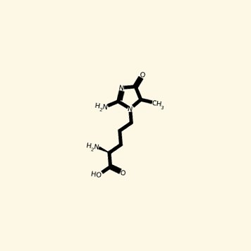 CC1C(=O)N=C(N)N1CCC[C@H](N)C(=O)O